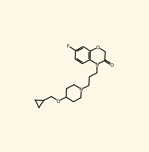 O=C1COc2cc(F)ccc2N1CCCN1CCC(OCC2CC2)CC1